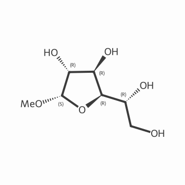 CO[C@H]1O[C@H]([C@H](O)CO)[C@H](O)[C@H]1O